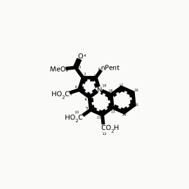 CCCCCc1c(C(=O)OC)c(C(=O)O)c2c(C(=O)O)c(C(=O)O)c3ccccc3n12